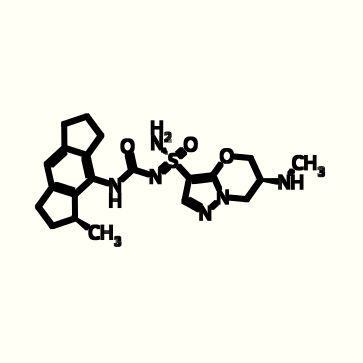 CN[C@@H]1COc2c([S@](N)(=O)=NC(=O)Nc3c4c(cc5c3[C@@H](C)CC5)CCC4)cnn2C1